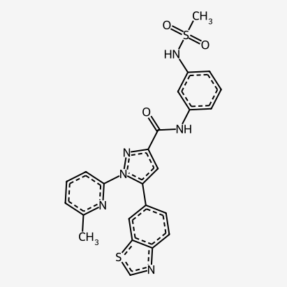 Cc1cccc(-n2nc(C(=O)Nc3cccc(NS(C)(=O)=O)c3)cc2-c2ccc3ncsc3c2)n1